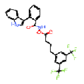 O=C(CCCc1cc(C(F)(F)F)cc(C(F)(F)F)c1)ONC(=O)c1ccccc1-c1c[nH]c2ccccc12